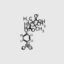 CC(C)(C)[C@](C)(NC(=O)Oc1ccc([N+](=O)[O-])cc1)C(=O)O